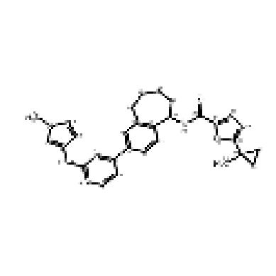 Cn1cc(Nc2nccc(-c3ccc4c(c3)CCCCC4NC(=O)c3nnc(C4(C)CC4)o3)n2)cn1